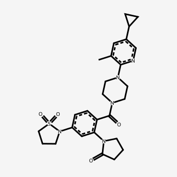 Cc1cc(C2CC2)cnc1N1CCN(C(=O)c2ccc(N3CCCS3(=O)=O)cc2N2CCCC2=O)CC1